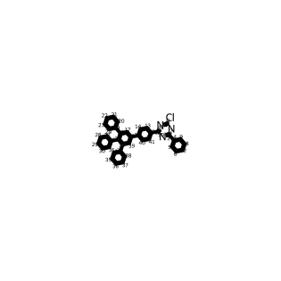 Clc1nc(-c2ccccc2)nc(-c2ccc(-c3cc(-c4ccccc4)c(-c4ccccc4)c(-c4ccccc4)c3)cc2)n1